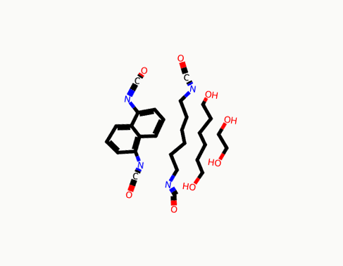 O=C=NCCCCCCN=C=O.O=C=Nc1cccc2c(N=C=O)cccc12.OCCCCCCO.OCCO